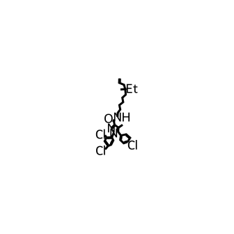 C=CCC(C)(CC)CCCCCCNC(=O)c1nn(-c2ccc(Cl)cc2Cl)c(-c2ccc(Cl)cc2)c1C